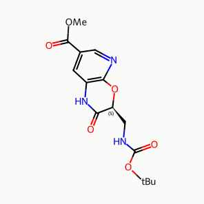 COC(=O)c1cnc2c(c1)NC(=O)[C@H](CNC(=O)OC(C)(C)C)O2